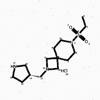 CCS(=O)(=O)N1CCC2(CC1)CN(C[C@@H]1CCNC1)C2.Cl